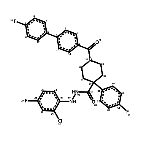 O=C(c1ccc(-c2ccc(F)cc2)cc1)N1CCC(C(=O)NNc2ccc(F)cc2Cl)(c2ccc(F)cc2)CC1